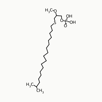 COC(COP(=O)(O)O)CSCCCCCCCCCCCCCCCCC(C)C